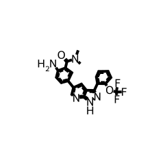 CN(C)C(=O)c1cc(-c2cnc3[nH]nc(-c4ccccc4OC(F)(F)F)c3c2)ccc1N